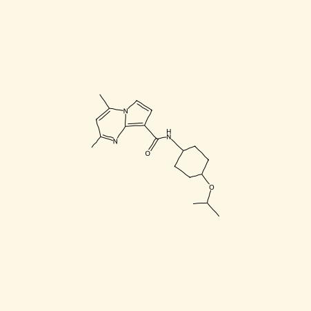 Cc1cc(C)n2ccc(C(=O)NC3CCC(OC(C)C)CC3)c2n1